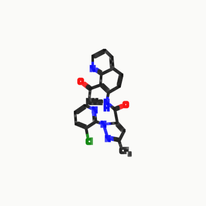 CNC(=O)c1c(NC(=O)c2cc(C(F)(F)F)nn2-c2ncccc2Cl)ccc2cccnc12